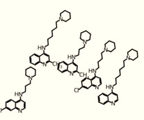 Cc1cc(NCCCCCCN2CCCCC2)c2ccccc2n1.Cc1cc(NCCCN2CCCCC2)c2ccccc2n1.Clc1ccc2c(NCCCCN3CCCCC3)ccnc2c1.Clc1ccc2c(NCCCN3CCCCC3)ccnc2c1.c1ccc2c(NCCCCCCN3CCCCC3)ccnc2c1